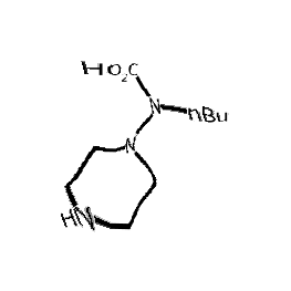 CCCCN(C(=O)O)N1CCNCC1